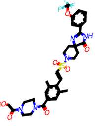 Cc1cc(C(=O)N2CCN(C(=O)CO)CC2)cc(C)c1/C=C/S(=O)(=O)N1CCC2(CC1)N=C(c1cccc(OC(F)(F)F)c1)NC2=O